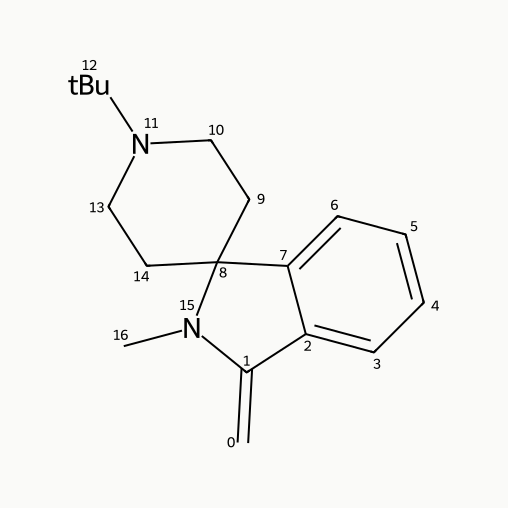 C=C1c2ccccc2C2(CCN(C(C)(C)C)CC2)N1C